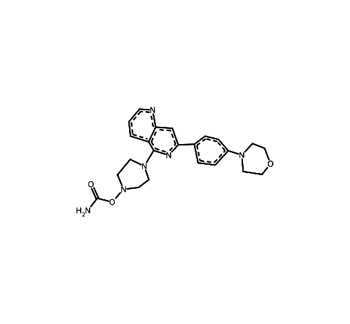 NC(=O)ON1CCN(c2nc(-c3ccc(N4CCOCC4)cc3)cc3ncccc23)CC1